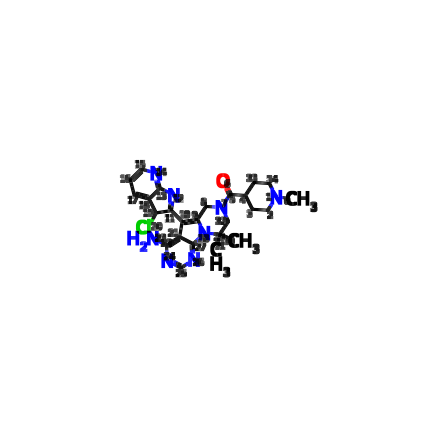 CN1CCC(C(=O)N2Cc3c(C4=Nc5ncccc5C4Cl)c4c(N)ncnc4n3C(C)(C)C2)CC1